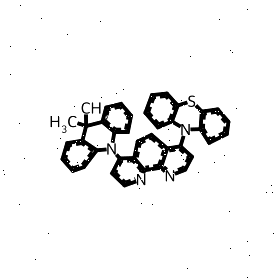 CC1(C)c2ccccc2N(c2ccnc3c2ccc2c(N4c5ccccc5Sc5ccccc54)ccnc23)c2ccccc21